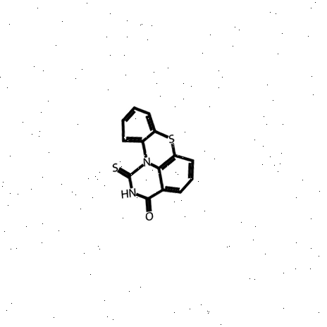 O=c1[nH]c(=S)n2c3c(cccc13)Sc1ccccc1-2